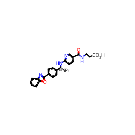 CC(C)[C@H](Nc1ccc(C(=O)NCCC(=O)O)cn1)c1ccc(-c2nc3ccccc3o2)cc1